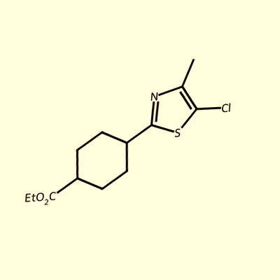 CCOC(=O)C1CCC(c2nc(C)c(Cl)s2)CC1